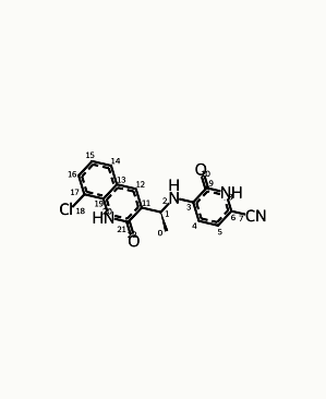 C[C@H](Nc1ccc(C#N)[nH]c1=O)c1cc2cccc(Cl)c2[nH]c1=O